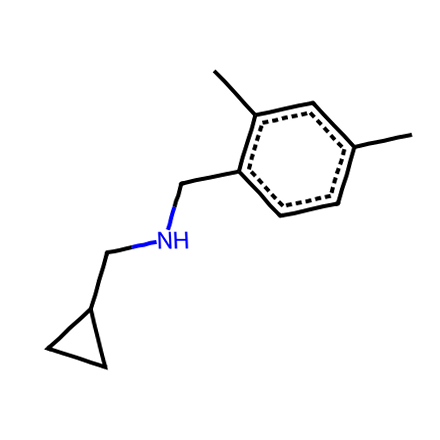 Cc1ccc(CNCC2CC2)c(C)c1